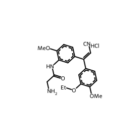 CCOc1cc(C(=CC#N)c2ccc(OC)c(NC(=O)CN)c2)ccc1OC.Cl